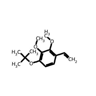 C=Cc1ccc(OC(C)(C)C)c(OC)c1OC